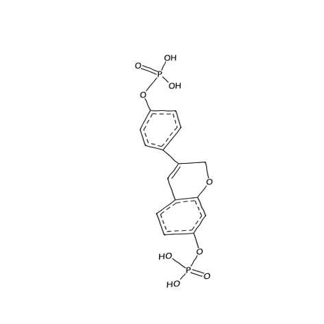 O=P(O)(O)Oc1ccc(C2=Cc3ccc(OP(=O)(O)O)cc3OC2)cc1